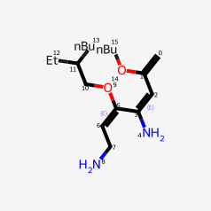 C=C(/C=C(N)\C(=C/CN)OCC(CC)CCCC)OCCCC